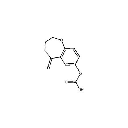 O=C(O)Oc1ccc2c(c1)C(=O)CCCO2